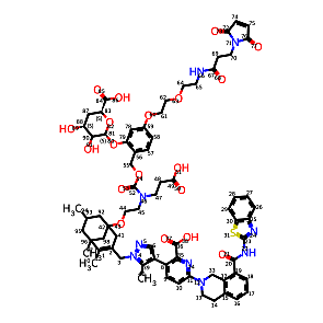 CC1=C(Cn2ncc(-c3ccc(N4CCc5cccc(C(=O)Nc6nc7ccccc7s6)c5C4)nc3C(=O)O)c2C)CC2(OCCN(CCC(=O)O)C(=O)OCc3ccc(OCCOCCNC(=O)CCN4C(=O)C=CC4=O)cc3O[C@@H]3O[C@H](C(=O)O)C[C@H](O)C3O)CC(C)CC1(C)C2